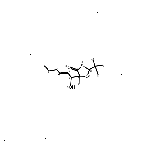 CCCC=CC(O)C1(C)OC(C(C)(C)C)SC1=O